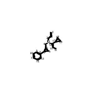 C=CCN(CC1CC1c1ccccc1)C(=CC)C1CC1